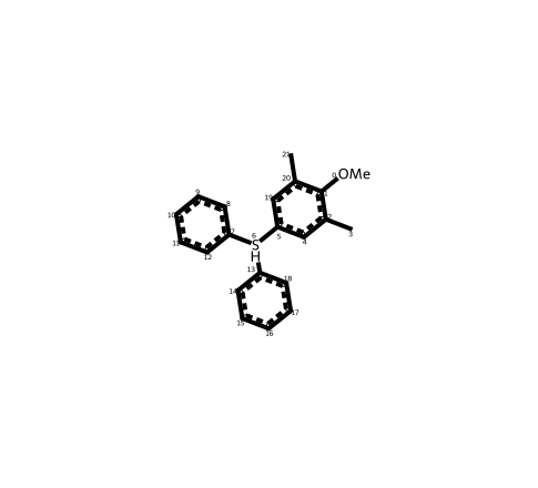 COc1c(C)cc([SH](c2ccccc2)c2ccccc2)cc1C